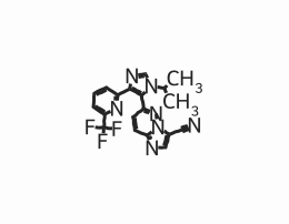 CC(C)n1cnc(-c2cccc(C(F)(F)F)n2)c1-c1ccc2ncc(C#N)n2n1